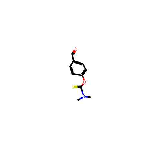 CN(C)C(=S)Oc1ccc(C=O)cc1